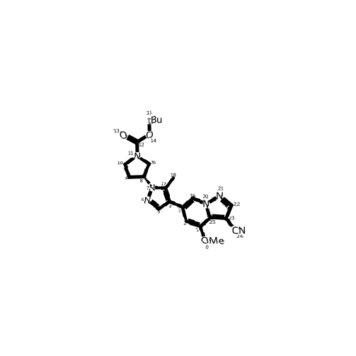 COc1cc(-c2cnn([C@H]3CCN(C(=O)OC(C)(C)C)C3)c2C)cn2ncc(C#N)c12